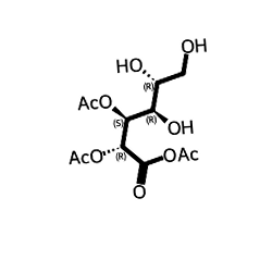 CC(=O)OC(=O)[C@H](OC(C)=O)[C@@H](OC(C)=O)[C@H](O)[C@H](O)CO